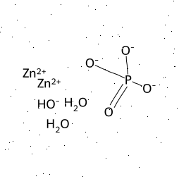 O.O.O=P([O-])([O-])[O-].[OH-].[Zn+2].[Zn+2]